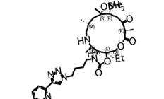 B[C@@H]1CC(=O)[C@@H](C)C(=O)O[C@H](CC)[C@@]2(C)OC(=O)N(CCCCn3cc(-c4cccnn4)nn3)[C@@H]2[C@@H](C)NC[C@H](C)C[C@@]1(C)OC